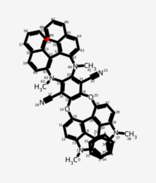 Cn1c2ccccc2c2c3c(ccc21)oc1c(C#N)c2c(c(C#N)c1oc1ccc4c(c5ccccc5n4C)c13)n(C)c1ccc3ccccc3c1c1c3ccccc3ccc1n2C